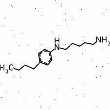 CCCCc1ccc(NCCCCCN)cc1